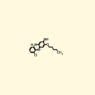 CCCCCOC1=C/C(=N/c2ccccc2Cl)C(N)=CC1=N